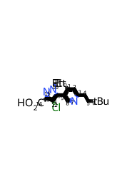 CCc1cc(CCC(C)(C)C)ncc1-c1c(Cl)c(C(=O)O)nn1CC